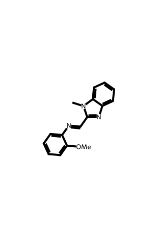 COc1ccccc1N=Cc1nc2ccccc2n1C